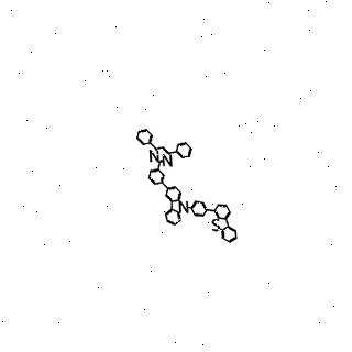 c1ccc(-c2cc(-c3ccccc3)nc(-c3cccc(-c4ccc5c(c4)c4ccccc4n5-c4ccc(-c5cccc6c5sc5ccccc56)cc4)c3)n2)cc1